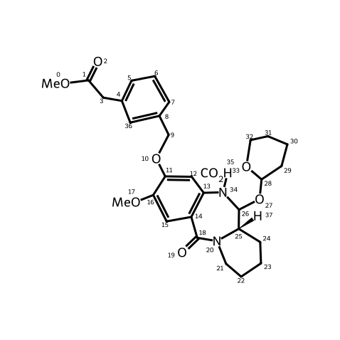 COC(=O)Cc1cccc(COc2cc3c(cc2OC)C(=O)N2CCCC[C@H]2C(OC2CCCCO2)N3C(=O)O)c1